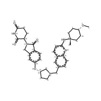 CO[C@H]1CC[C@@](C)(Nc2ccc3cc(CN4CC[C@H](Oc5ccc6c(c5)CN(C5CCC(=O)NC5=O)C6=O)C4)ccc3n2)CC1